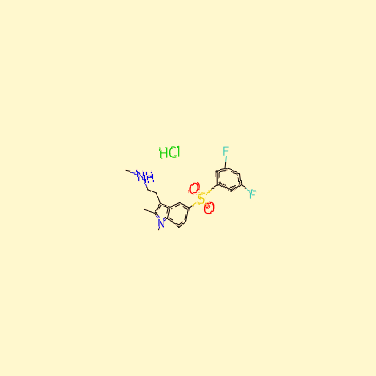 CNCCc1c(C)n(C)c2ccc(S(=O)(=O)c3cc(F)cc(F)c3)cc12.Cl